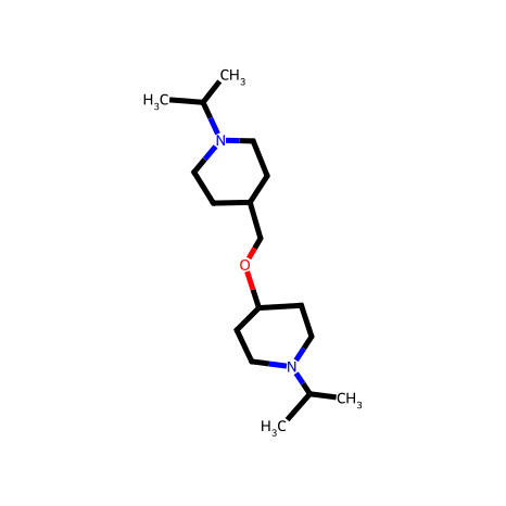 CC(C)N1CCC(COC2CCN(C(C)C)CC2)CC1